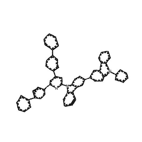 c1ccc2c(c#1)c1cc(-c3ccc4c(c3)c3ccccc3n4-c3ccccc3)ccc1n2-c1cc(-c2ccc(-c3ccccc3)cc2)cc(-c2ccc(-c3ccccc3)cc2)n1